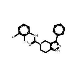 Cc1c(Cl)cccc1NC(=O)N1CCc2[nH]nc(-c3ccccc3)c2C1